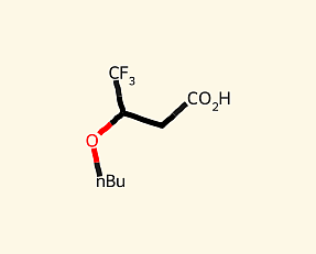 CCCCOC(CC(=O)O)C(F)(F)F